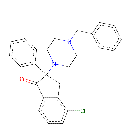 O=C1c2cccc(Cl)c2CC1(c1ccccc1)N1CCN(Cc2ccccc2)CC1